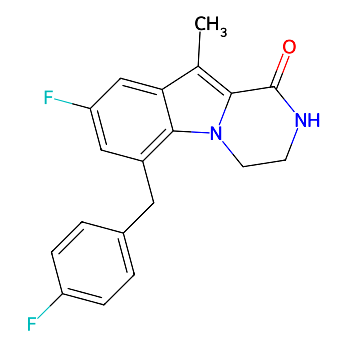 Cc1c2n(c3c(Cc4ccc(F)cc4)cc(F)cc13)CCNC2=O